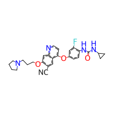 N#Cc1cc2c(Oc3ccc(NC(=O)NC4CC4)c(F)c3)ccnc2cc1OCCCN1CCCC1